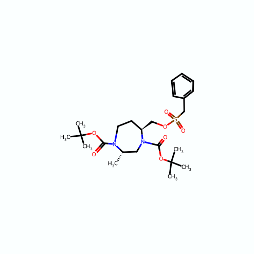 C[C@H]1CN(C(=O)OC(C)(C)C)[C@H](COS(=O)(=O)Cc2ccccc2)CCN1C(=O)OC(C)(C)C